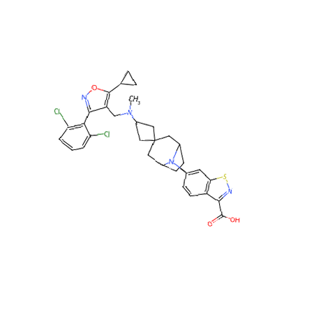 CN(Cc1c(-c2c(Cl)cccc2Cl)noc1C1CC1)C1CC2(C1)CC1CCC(C2)N1c1ccc2c(C(=O)O)nsc2c1